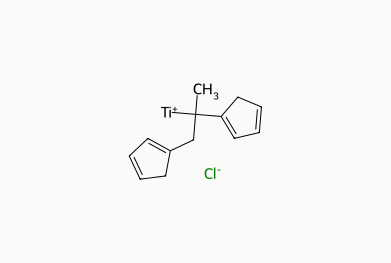 C[C]([Ti+])(CC1=CC=CC1)C1=CC=CC1.[Cl-]